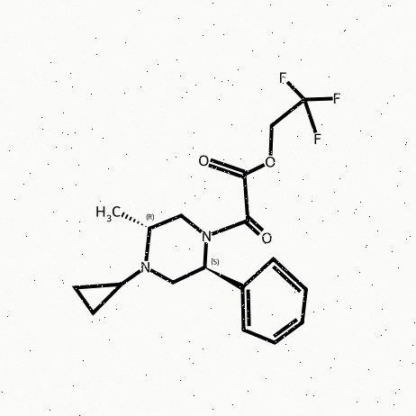 C[C@@H]1CN(C(=O)C(=O)OCC(F)(F)F)[C@@H](c2ccccc2)CN1C1CC1